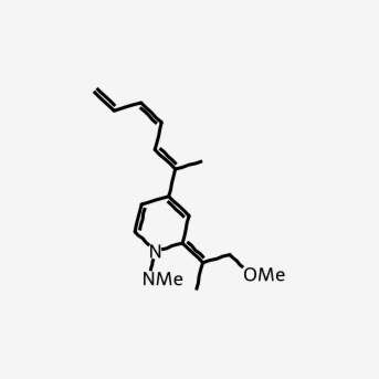 C=C/C=C\C=C(/C)C1=C/C(=C(/C)COC)N(NC)C=C1